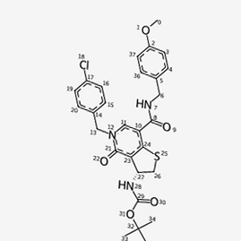 COc1ccc(CNC(=O)c2cn(Cc3ccc(Cl)cc3)c(=O)c3c2SC[C@@H]3NC(=O)OC(C)(C)C)cc1